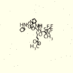 COC(=O)/C=C/CC[C@H](NC(=O)c1sc(C(F)(F)F)nc1C)C(=O)Nc1cccn(CC(=O)N[C@@H]2CC3CCC2C3)c1=O